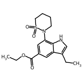 CCOC(=O)c1cc(N2CCCCS2(=O)=O)c2[nH]cc(CC)c2c1